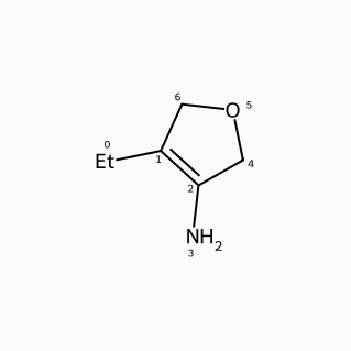 CCC1=C(N)COC1